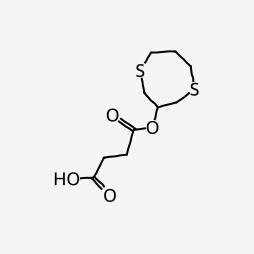 O=C(O)CCC(=O)OC1CSCCCSC1